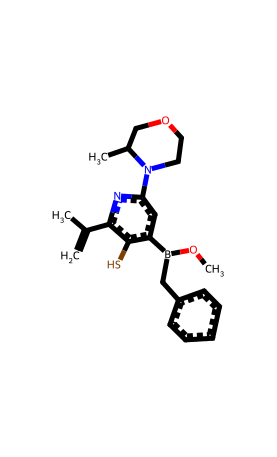 C=C(C)c1nc(N2CCOCC2C)cc(B(Cc2ccccc2)OC)c1S